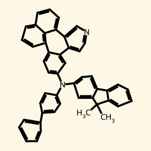 CC1(C)c2ccccc2-c2ccc(N(c3ccc(-c4ccccc4)cc3)c3ccc4c(c3)-c3ccncc3-c3cccc5cccc-4c35)cc21